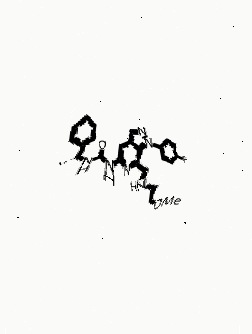 COCCNCc1nc(NC(=O)N[C@H](C)c2ccccc2)cc2cnn(-c3ccc(F)cc3)c12